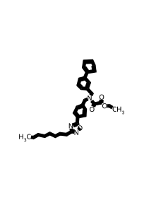 CCCCCCCCc1noc(-c2ccc(CN(Cc3cccc(-c4ccccc4)c3)C(=O)C(=O)OCC)cc2)n1